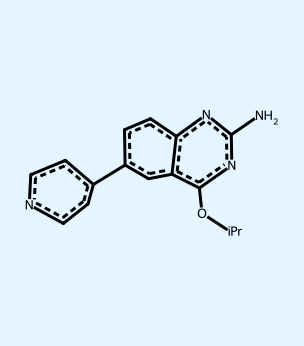 CC(C)Oc1nc(N)nc2ccc(-c3ccncc3)cc12